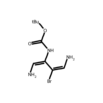 CC(C)(C)OC(=O)NC(=C/N)/C(Br)=C\N